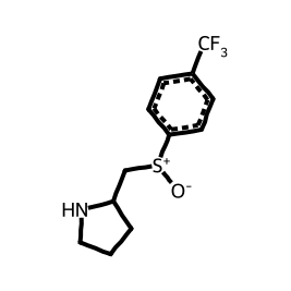 [O-][S+](CC1CCCN1)c1ccc(C(F)(F)F)cc1